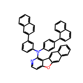 c1cc(-c2ccc3ccccc3c2)cc(N(c2ccc(-c3cccc4ccccc34)cc2)c2nccc3oc4cc5ccccc5cc4c23)c1